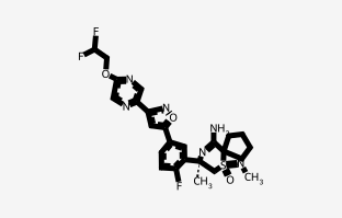 CN=S1(=O)C[C@@](C)(c2cc(-c3cc(-c4cnc(OCC(F)F)cn4)no3)ccc2F)N=C(N)C12CCCC2